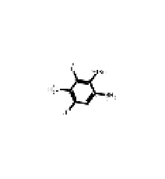 Bc1cc(F)c(C)c(F)c1C(C)(C)C